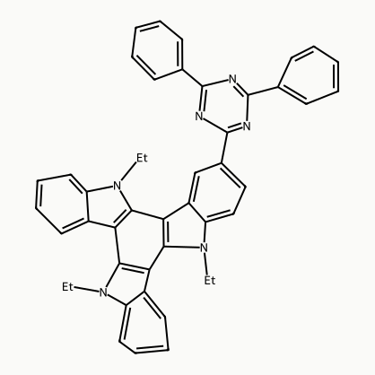 CCn1c2ccccc2c2c1c1c3ccccc3n(CC)c1c1c3cc(-c4nc(-c5ccccc5)nc(-c5ccccc5)n4)ccc3n(CC)c21